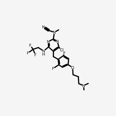 CN(C)CCCOc1cc(F)c(Cc2c(Cl)nc(N(C)C#N)nc2NCC(F)(F)F)c(F)c1